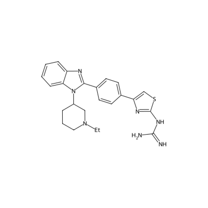 CCN1CCCC(n2c(-c3ccc(-c4csc(NC(=N)N)n4)cc3)nc3ccccc32)C1